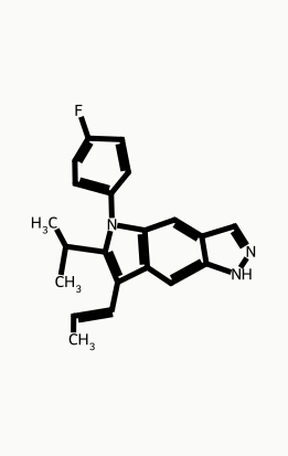 C/C=C/c1c(C(C)C)n(-c2ccc(F)cc2)c2cc3cn[nH]c3cc12